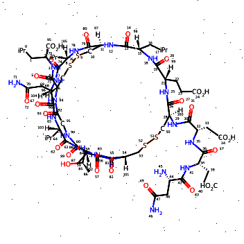 CC(C)C[C@H](NC(=O)[C@@H]1CSSC[C@@H]2NC(=O)[C@H](CC(C)C)NC(=O)[C@H](CCC(=O)O)NC(=O)[C@@H](NC(=O)[C@H](CC(=O)O)NC(=O)[C@H](CC(=O)O)NC(=O)[C@@H](N)CC(N)=O)CSSC[C@H](NC(=O)[C@H](C)NC(=O)[C@H](C(C)C)NC(=O)[C@H](CC(N)=O)NC(=O)[C@H](C(C)C)NC2=O)C(=O)NC([C@@H](C)O)C(=O)NCC(=O)N1)C(=O)O